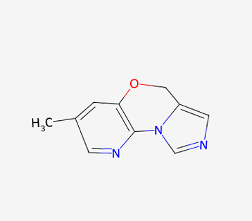 Cc1cnc2c(c1)OCc1cncn1-2